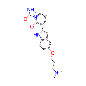 CN(C)CCCOc1ccc2[nH]c(-c3c[c]cn(C(N)=O)c3=O)cc2c1